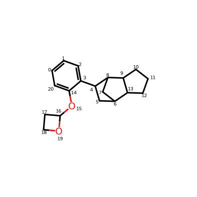 c1ccc(C2CC3CC2C2CCCC32)c(OC2CCO2)c1